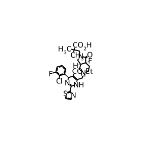 CCOC(=O)C1=C(CN2CC[C@]3(F)C(=O)N(CC(C)(C)C(=O)O)C[C@@H]3C2)NC(c2nccs2)=N[C@H]1c1cccc(F)c1Cl